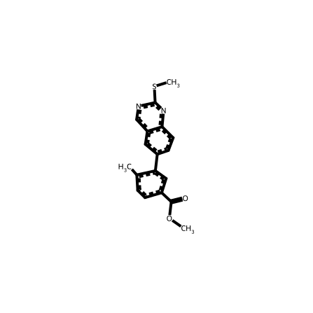 COC(=O)c1ccc(C)c(-c2ccc3nc(SC)ncc3c2)c1